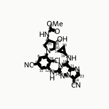 COC(=O)N[C@@H]1CN(c2cc(C#N)cc(Nc3nc(NC4CC4)c4ncc(C#N)n4n3)c2Cl)C[C@H]1O